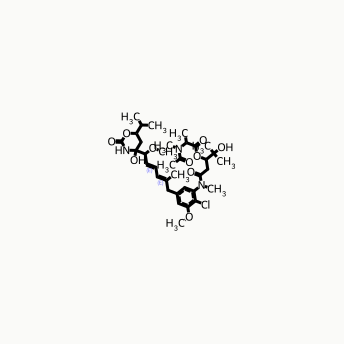 COc1cc(C/C(C)=C/C=C/C(OC)C2(O)CC(C(C)C)OC(=O)N2)cc(N(C)C(=O)CC(OC(=O)C(C)N(C)C(C)=O)C(C)(C)O)c1Cl